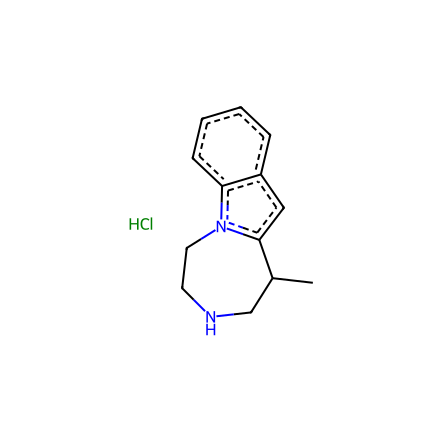 CC1CNCCn2c1cc1ccccc12.Cl